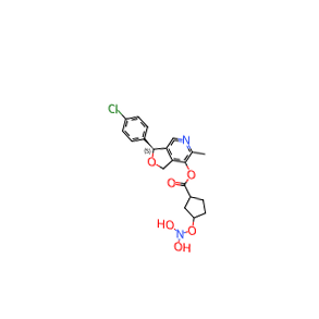 Cc1ncc2c(c1OC(=O)C1CCC(ON(O)O)C1)CO[C@H]2c1ccc(Cl)cc1